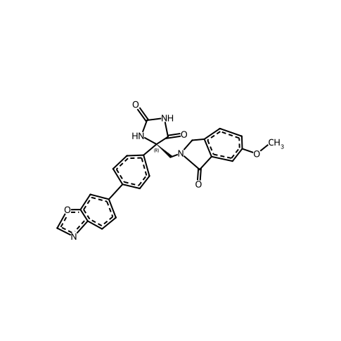 COc1ccc2c(c1)C(=O)N(C[C@@]1(c3ccc(-c4ccc5ncoc5c4)cc3)NC(=O)NC1=O)C2